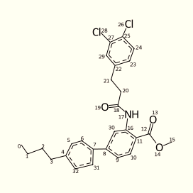 CCCCc1ccc(-c2ccc(C(=O)OC)c(NC(=O)CCc3ccc(Cl)c(Cl)c3)c2)cc1